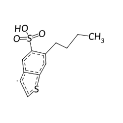 CCCCc1cc2sc[c]c2cc1S(=O)(=O)O